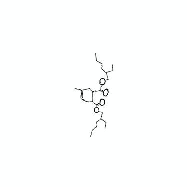 CCCCC(CC)COC(=O)C1CC=C(C)CC1C(=O)OCC(CC)CCCC